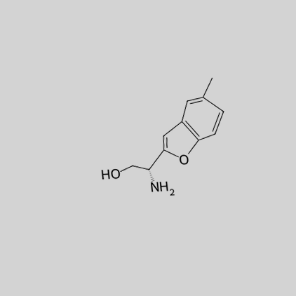 Cc1ccc2oc([C@H](N)CO)cc2c1